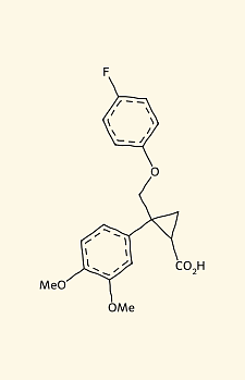 COc1ccc(C2(COc3ccc(F)cc3)CC2C(=O)O)cc1OC